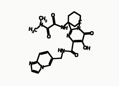 CN(C)C(=O)C(=O)NC12CCC(CC1)Cn1c2nc(C(=O)NCc2ccc3nccn3c2)c(O)c1=O